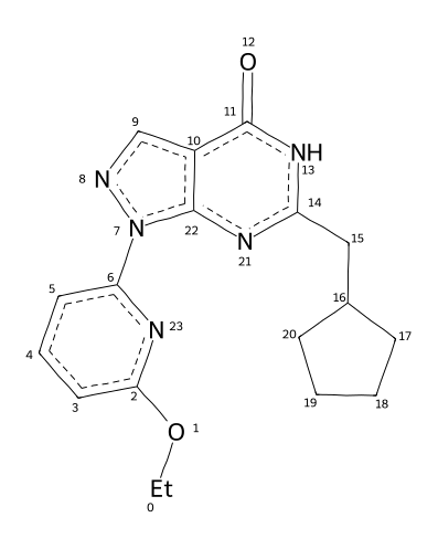 CCOc1cccc(-n2ncc3c(=O)[nH]c(CC4CCCC4)nc32)n1